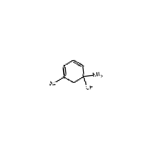 CC(=O)C1=CC=CC(N)(O)C1